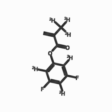 [2H]c1c(F)c([2H])c(OC(=O)C(=C)C([2H])([2H])[2H])c([2H])c1F